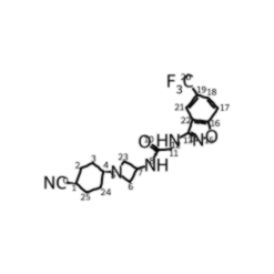 N#C[C@H]1CC[C@@H](N2CC(NC(=O)CNc3noc4ccc(C(F)(F)F)cc34)C2)CC1